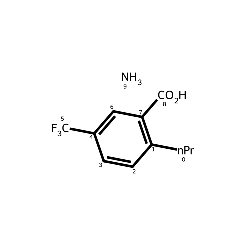 CCCc1ccc(C(F)(F)F)cc1C(=O)O.N